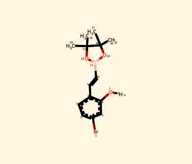 [2H]Oc1cc(Br)ccc1C=CB1OC(C)(C)C(C)(C)O1